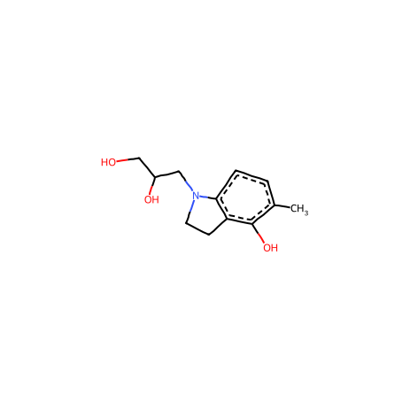 Cc1ccc2c(c1O)CCN2CC(O)CO